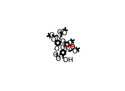 COc1ccc(N(CC(=O)OC(C)(C)C)CC(=O)OC(C)(C)C)c(O[C@@H]2CCC[C@@H]2Oc2cc([N+](=O)[O-])c(CO)cc2N(CC(=O)OC(C)(C)C)CC(=O)OC(C)(C)C)c1